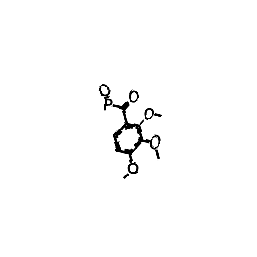 COc1ccc(C(=O)P=O)c(OC)c1OC